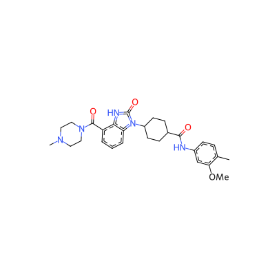 COc1cc(NC(=O)C2CCC(n3c(=O)[nH]c4c(C(=O)N5CCN(C)CC5)cccc43)CC2)ccc1C